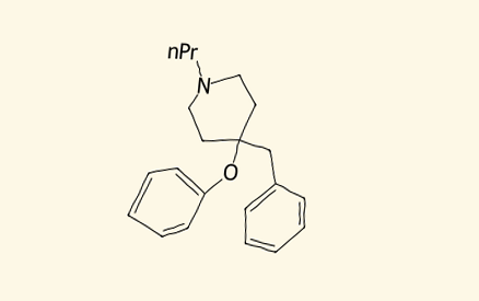 CCCN1CCC(Cc2ccccc2)(Oc2ccccc2)CC1